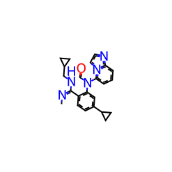 C/N=C(/NCC1CC1)c1ccc(C2CC2)cc1N(C=O)c1cccc2nccn12